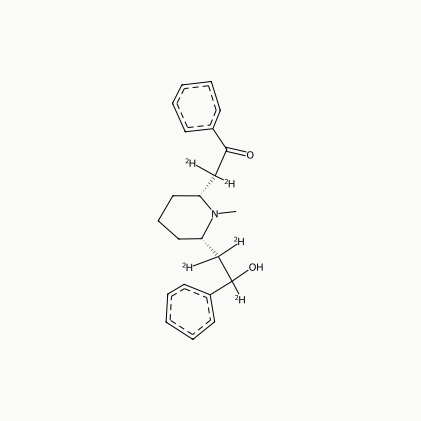 [2H]C([2H])(C(=O)c1ccccc1)[C@H]1CCC[C@@H](C([2H])([2H])C([2H])(O)c2ccccc2)N1C